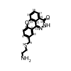 NCCSCc1ccc2c(c1)-c1n[nH]c(=O)c3cccc(c13)O2